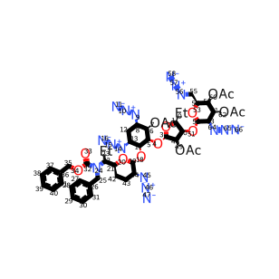 CC[C@H]1O[C@@H](O[C@@H]2[C@@H](OC(C)=O)[C@H](N=[N+]=[N-])C[C@H](N=[N+]=[N-])[C@H]2O[C@H]2O[C@H]([C@H](CC)N(Cc3ccccc3)C(=O)OCc3ccccc3)CC[C@H]2N=[N+]=[N-])[C@H](OC(C)=O)[C@@H]1O[C@H]1O[C@@H](CN=[N+]=[N-])[C@@H](OC(C)=O)[C@H](OC(C)=O)[C@H]1N=[N+]=[N-]